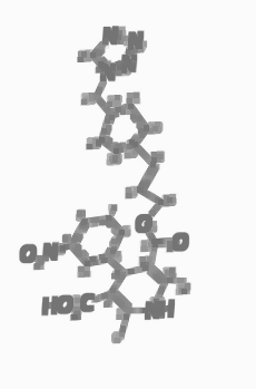 CC1=C(C(=O)O)C(c2cccc([N+](=O)[O-])c2)C(C(=O)OCC=Cc2ccc(Cn3cnnn3)cc2)=C(C)N1